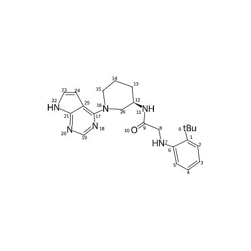 CC(C)(C)c1ccccc1NCC(=O)N[C@@H]1CCCN(c2ncnc3[nH]ccc23)C1